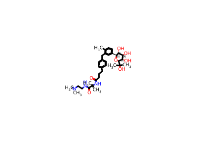 Cc1ccc([C@@H]2OC(C(C)(C)O)[C@@H](O)[C@H](O)[C@H]2O)cc1Cc1ccc(CCCC(=O)NC(C)(C)C(=O)NCCN(C)C)cc1